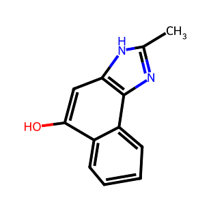 Cc1nc2c(cc(O)c3ccccc32)[nH]1